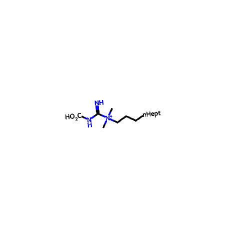 CCCCCCCCCC[N+](C)(C)C(=N)NC(=O)O